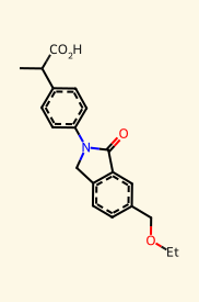 CCOCc1ccc2c(c1)C(=O)N(c1ccc(C(C)C(=O)O)cc1)C2